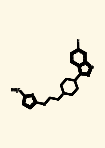 O=C(O)c1ccc(SCCN2CCC(c3noc4cc(F)ccc34)CC2)s1